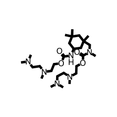 CN(C)CCN(C)CCOC(=O)NC1CC(C)(C)CC(C)(CN(C)C(=O)OCCN(C)CCN(C)C)C1